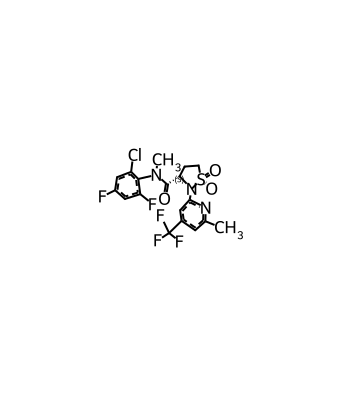 Cc1cc(C(F)(F)F)cc(N2[C@H](C(=O)N(C)c3c(F)cc(F)cc3Cl)CCS2(=O)=O)n1